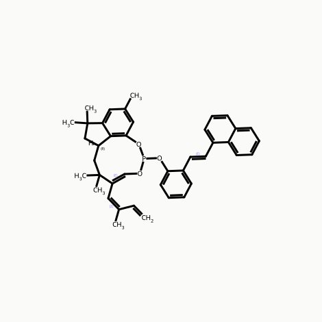 C=C/C(C)=C\C1=C/OP(Oc2ccccc2/C=C/c2cccc3ccccc23)Oc2cc(C)cc3c2[C@@H](CC1(C)C)CC3(C)C